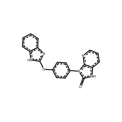 O=c1[nH]c2cccnc2n1-c1ccc(Oc2nc3ccccc3[nH]2)cc1